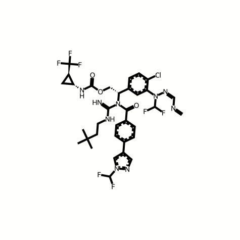 C=N/C=N\N(c1cc([C@@H](COC(=O)N[C@@H]2C[C@H]2C(F)(F)F)N(C(=N)NCCC(C)(C)C)C(=O)c2ccc(-c3cnn(C(F)F)c3)cc2)ccc1Cl)C(F)F